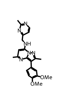 COc1ccc(-c2c(C)nn3c(NCc4ccnc(C)n4)cc(C)nc23)cc1OC